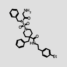 CCc1ccc(CCNC(=O)C2(Cc3ccccc3)CCN(S(=O)(=O)N(Cc3ccccc3)C(=O)CN)CC2)cc1